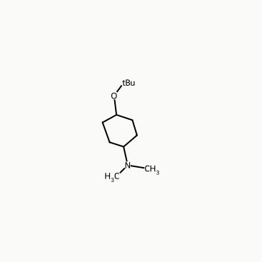 CN(C)C1CCC(OC(C)(C)C)CC1